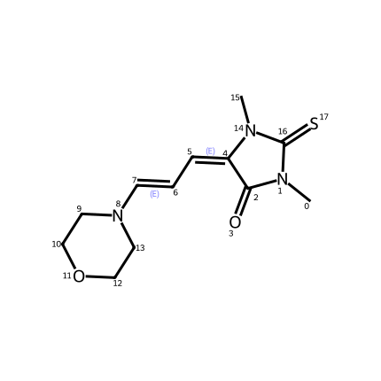 CN1C(=O)/C(=C\C=C\N2CCOCC2)N(C)C1=S